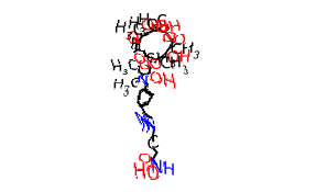 CC[C@H]1OC(=O)[C@H](C)[C@@H](O)[C@H](C)[C@@H](O[C@@H]2O[C@H](C)C[C@H](N(C)Cc3ccc(-c4cn(CCCCCC(=O)NO)nn4)cc3)[C@H]2O)[C@@]2(C)C[C@@H](CO2)C(=O)[C@H](C)[C@@H](O)[C@]1(C)O